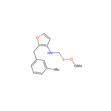 COOSCNc1ccoc1Cc1cccc(C(C)(C)C)c1